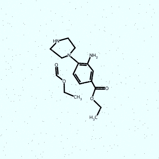 CCOC(=O)c1ccc(N2CCNCC2)c(N)c1.CCOC=O